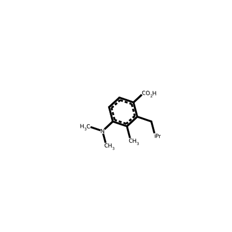 Cc1c(N(C)C)ccc(C(=O)O)c1CC(C)C